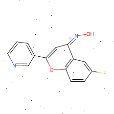 O/N=c1/cc(-c2cccnc2)oc2ccc(F)cc12